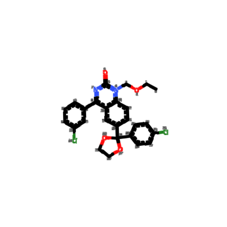 CCOCn1c(=O)nc(-c2cccc(Cl)c2)c2cc(C3(c4ccc(Cl)cc4)OCCO3)ccc21